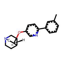 Cc1cccc(-c2ccc(O[C@H]3CN4CCC3CC4)cn2)c1